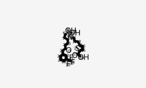 O=C(C=CC1CCS(O)(O)N1CCCc1ccc(C(=O)O)s1)Cc1cccc(C(F)(F)F)c1